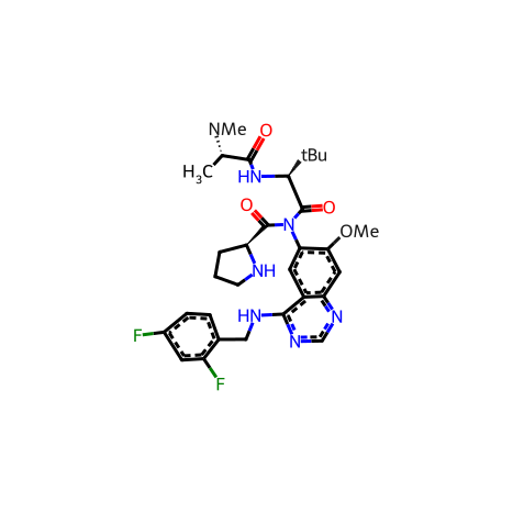 CN[C@@H](C)C(=O)N[C@H](C(=O)N(C(=O)[C@@H]1CCCN1)c1cc2c(NCc3ccc(F)cc3F)ncnc2cc1OC)C(C)(C)C